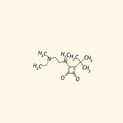 CCN(C)CCN(C)c1c(C(C)(C)C)c(=O)c1=O